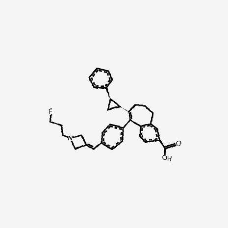 O=C(O)c1ccc2c(c1)CCCC([C@@H]1C[C@H]1c1ccccc1)=C2c1ccc(C=C2CN(CCCF)C2)cc1